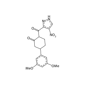 COc1cc(OC)cc(C2CCC(C(=O)c3n[nH]cc3[N+](=O)[O-])C(=O)C2)c1